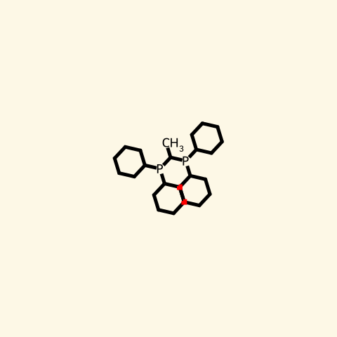 CC(P(C1CCCCC1)C1CCCCC1)P(C1CCCCC1)C1CCCCC1